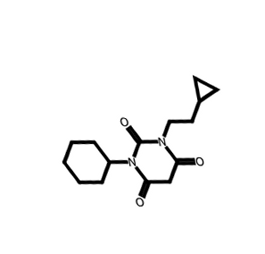 O=C1CC(=O)N(C2CCCCC2)C(=O)N1CCC1CC1